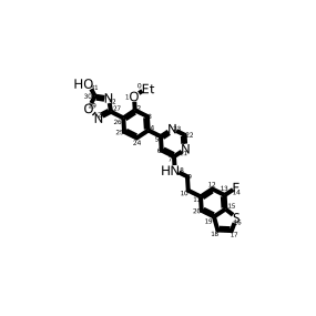 CCOc1cc(-c2cc(NCCc3cc(F)c4sccc4c3)ncn2)ccc1-c1noc(O)n1